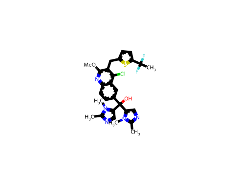 COc1nc2ccc(C(O)(c3cnc(C)n3C)c3cnc(C)n3C)cc2c(Cl)c1Cc1ccc(C(C)(F)F)s1